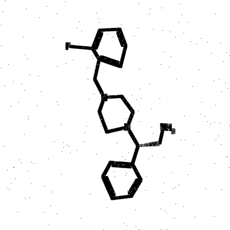 NC[C@H](c1ccccc1)N1CCN(Cc2ccccc2F)CC1